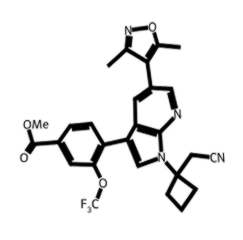 COC(=O)c1ccc(-c2cn(C3(CC#N)CCC3)c3ncc(-c4c(C)noc4C)cc23)c(OC(F)(F)F)c1